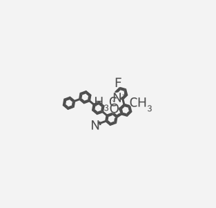 Cc1ccc2c(oc3c(-c4ccc(-c5cccc(-c6ccccc6)c5)cc4)c(C#N)ccc32)c1-c1ccc(F)c[n+]1C